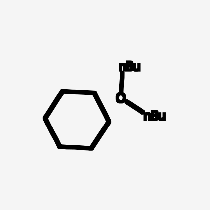 C1CCCCC1.CCCCOCCCC